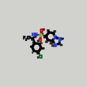 O=S(=O)(NC(c1ccc(Cl)cc1)C(F)(F)F)c1ccn2ncnc2c1